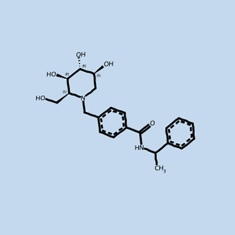 CC(NC(=O)c1ccc(CN2C[C@H](O)[C@@H](O)[C@H](O)[C@@H]2CO)cc1)c1ccccc1